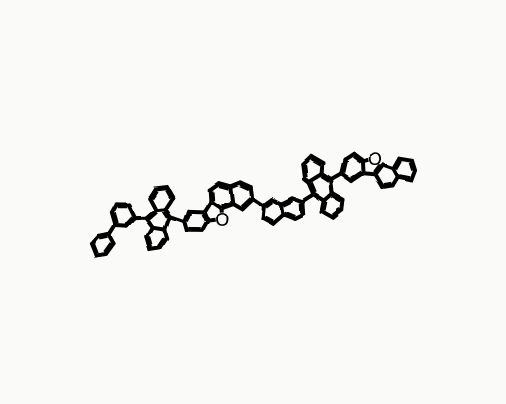 C1=CC2C(c3cccc(-c4ccccc4)c3)=c3ccccc3=C(c3ccc4oc5c6cc(-c7ccc8ccc(-c9c%10ccccc%10c(-c%10ccc%11oc%12c%13ccccc%13ccc%12c%11c%10)c%10ccccc9%10)cc8c7)ccc6ccc5c4c3)C2C=C1